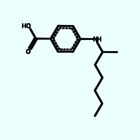 CCCCCC(C)Nc1ccc(C(=O)O)cc1